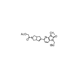 CC(=O)OCC(=O)N1CC2C=C(c3ccc4c(n3)n(C)c(=O)n4CC(C)(C)C)CC2C1